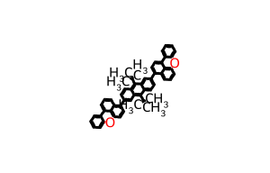 CC(C)(C)c1c2ccc(-c3ccc4c5c(cccc35)Oc3ccccc3-4)cc2c(C(C)(C)C)c2ccc(-c3ccc4c5c(cccc35)-c3ccccc3O4)cc12